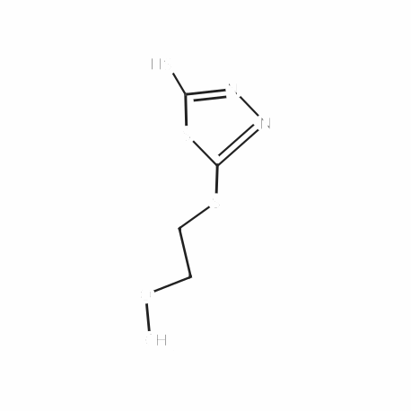 COCCSc1nnc(S)s1